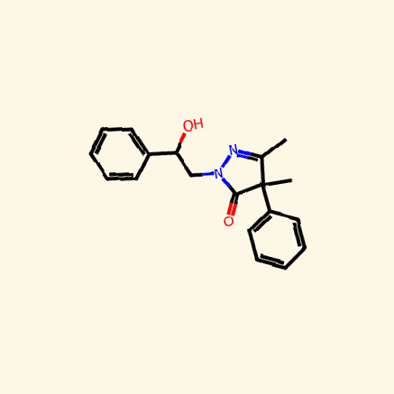 CC1=NN(CC(O)c2ccccc2)C(=O)C1(C)c1ccccc1